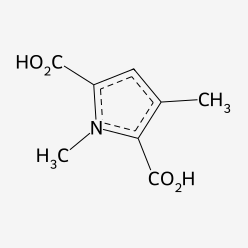 Cc1cc(C(=O)O)n(C)c1C(=O)O